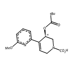 COc1cccc(C2=CCN(C(=O)O)C[C@@H]2OC(=O)C(C)(C)C)n1